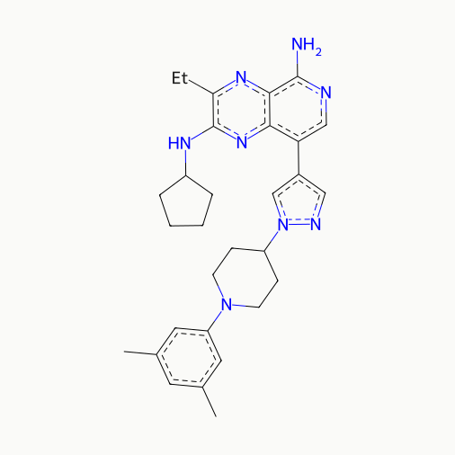 CCc1nc2c(N)ncc(-c3cnn(C4CCN(c5cc(C)cc(C)c5)CC4)c3)c2nc1NC1CCCC1